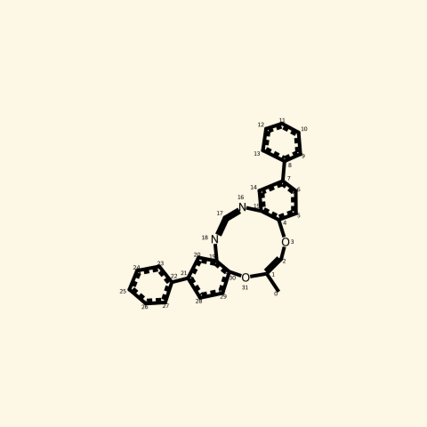 C/C1=C/Oc2ccc(-c3ccccc3)cc2N=C=Nc2cc(-c3ccccc3)ccc2O1